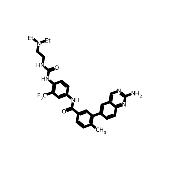 CCN(CC)CCNC(=O)Nc1ccc(NC(=O)c2ccc(C)c(-c3ccc4nc(N)ncc4c3)c2)cc1C(F)(F)F